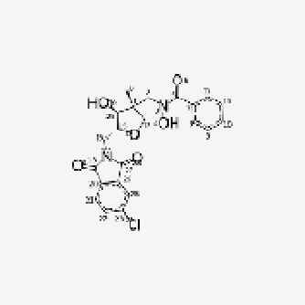 C[C@@]1(CN(O)C(=O)c2ccccc2)CO[C@H](CN2C(=O)c3ccc(Cl)cc3C2=O)[C@H]1O